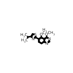 COc1n[c]nc2ccc(-c3nc(C(C)C)cs3)c(OC)c12